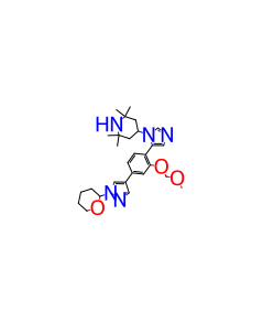 COCOc1cc(-c2cnn(C3CCCCO3)c2)ccc1-c1cncn1C1CC(C)(C)NC(C)(C)C1